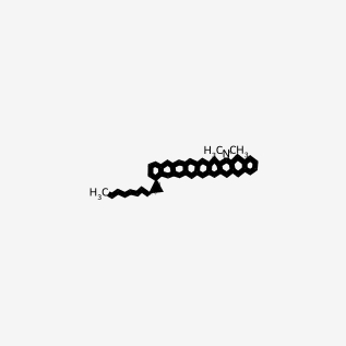 CCCCCCCC[C@@H]1C[C@@H]1C1CCCC2CC3CC4CC5CC6CC7C(CC6CC5CC4CC3CC21)CC1CC2CCCCC2CC1C7N(C)C